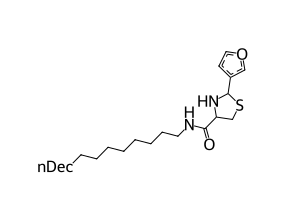 CCCCCCCCCCCCCCCCCCNC(=O)C1CSC(c2ccoc2)N1